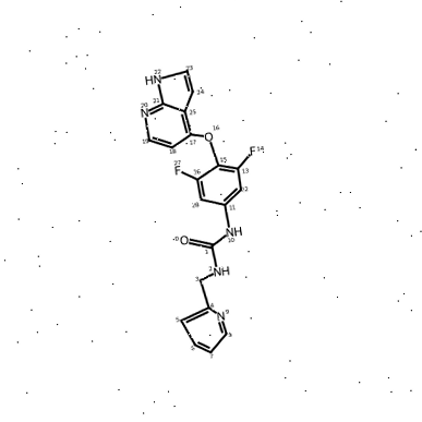 O=C(NCc1ccccn1)Nc1cc(F)c(Oc2ccnc3[nH]ccc23)c(F)c1